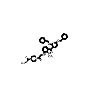 Cn1nc(-c2ccc(OCc3ccccc3)nc2OCc2ccccc2)c2cccc(NCC(=O)N3CCN(C(=O)OC(C)(C)C)CC3)c21